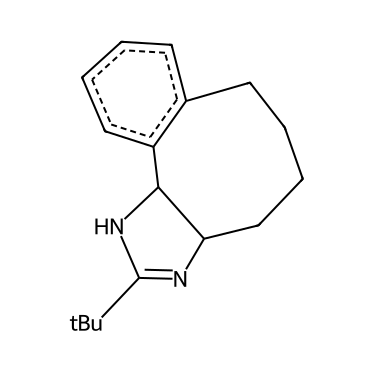 CC(C)(C)C1=NC2CCCCc3ccccc3C2N1